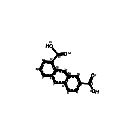 O=C(O)c1ccc2cc3cccc(C(=O)O)c3cc2c1